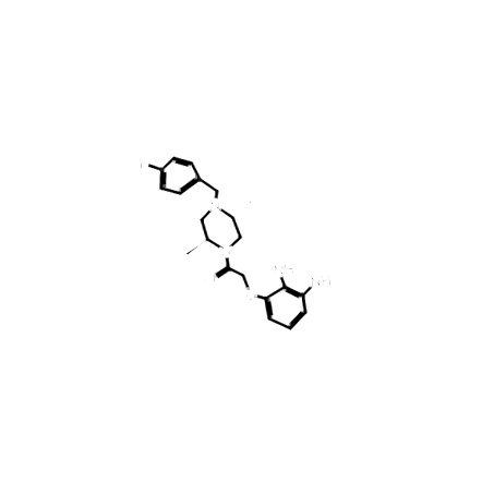 C[C@@H]1CN(C(=O)COc2cccc(N)c2N)[C@@H](C)CN1Cc1ccc(F)cc1